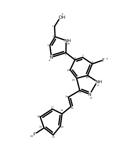 OCc1cnc(-c2cc(F)c3[nH]nc(C=Cc4ccc(F)cc4)c3c2)[nH]1